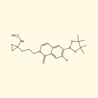 CC1(C)OB(c2cc3ccn(CCCC4(NC(=O)O)CC4)c(=O)c3cc2F)OC1(C)C